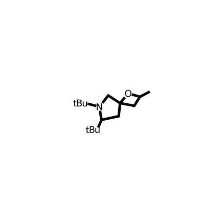 CC1CC2(CC(C(C)(C)C)N(C(C)(C)C)C2)O1